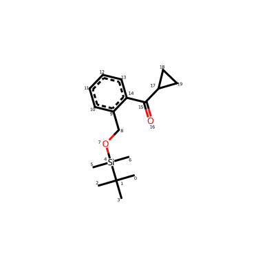 CC(C)(C)[Si](C)(C)OCc1ccccc1C(=O)C1CC1